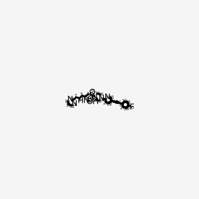 O=S(=O)(CC(CCCc1ncccn1)NO)N1CCN(c2ccc(C#Cc3ccc(F)cc3)cn2)CC1